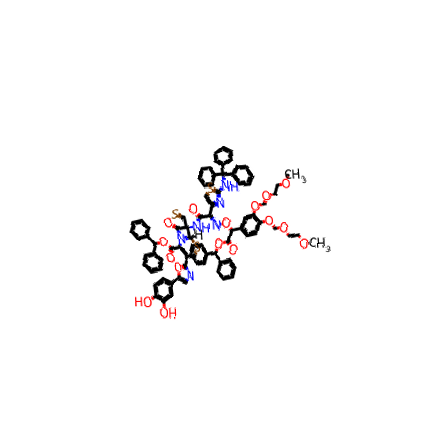 COCCOCOc1ccc(C(ON=C(C(=O)N[C@]2(C=S)C(=O)N3C(C(=O)OC(c4ccccc4)c4ccccc4)=C(c4ncc(-c5ccc(O)c(O)c5)o4)CS[C@H]32)c2csc(NC(c3ccccc3)(c3ccccc3)c3ccccc3)n2)C(=O)OC(c2ccccc2)c2ccccc2)cc1OCOCCOC